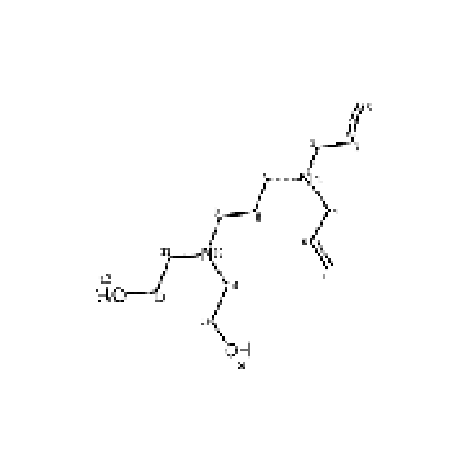 C=CCN(CC=C)CCCN(CCO)CCO